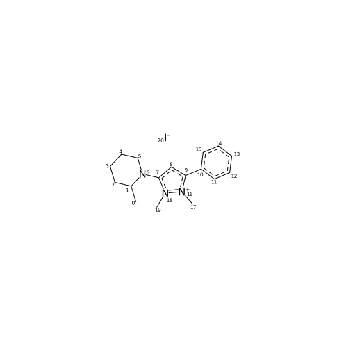 CC1CCCCN1c1cc(-c2ccccc2)[n+](C)n1C.[I-]